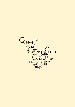 CC(C)C[C@H](NC(=O)[C@H](C)NC(=O)[C@H](CC(C)C)NC(=O)[C@H](C)NC(=O)[C@H](C)NC(=O)[C@H](C)NC(=O)[C@H](CC(C)C)NC(=O)[C@H](Cc1ccccc1)NC(=O)CN)C(=O)O